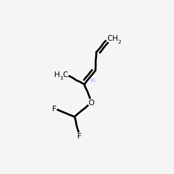 C=C/C=C(\C)OC(F)F